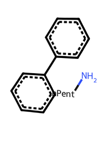 CCCCCN.c1ccc(-c2ccccc2)cc1